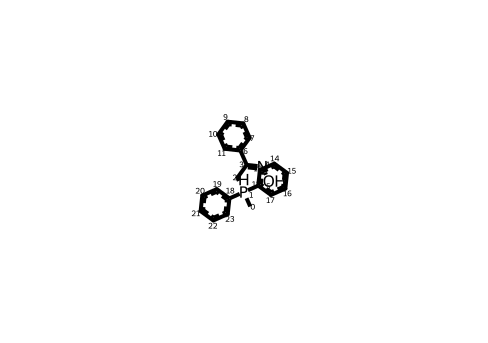 C[PH](CC(=NO)c1ccccc1)(c1ccccc1)c1ccccc1